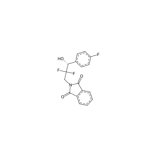 O=C1c2ccccc2C(=O)N1CC(F)(F)[C@H](O)c1ccc(F)cc1